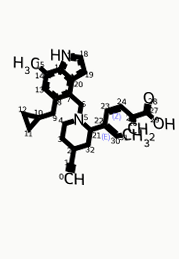 C#CC1CCN(Cc2c(CC3CC3)cc(C)c3[nH]ccc23)C(C(/C=C\C(=C)C(=O)O)=C/C)C1